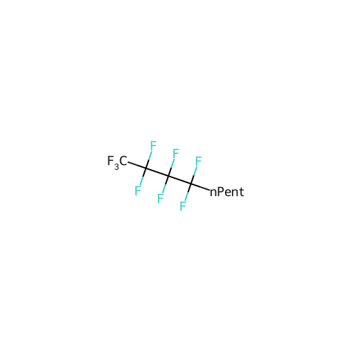 [CH2]CCCCC(F)(F)C(F)(F)C(F)(F)C(F)(F)F